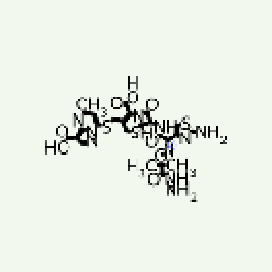 Cc1cc(SCC2=C(C(=O)O)N3C(=O)C(NC(=O)/C(=N\OC(C)(C)C(=O)NN)c4csc(N)n4)[C@H]3SC2)n2ncc(C(=O)O)c2n1